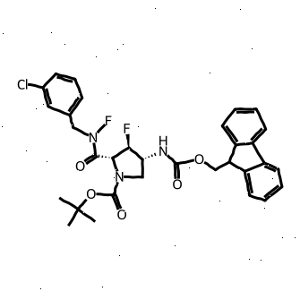 CC(C)(C)OC(=O)N1C[C@@H](NC(=O)OCC2c3ccccc3-c3ccccc32)[C@H](F)[C@H]1C(=O)N(F)Cc1cccc(Cl)c1